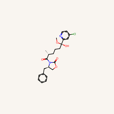 CO[C@@](O)(CCC[C@@H](C)C(=O)N1C(=O)OC[C@H]1Cc1ccccc1)c1cc(Cl)ccn1